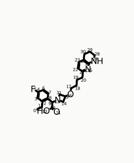 CCc1cc(F)ccc1C(C(=O)O)N1CC(OCCCCc2ccc3c(n2)NCCC3)C1